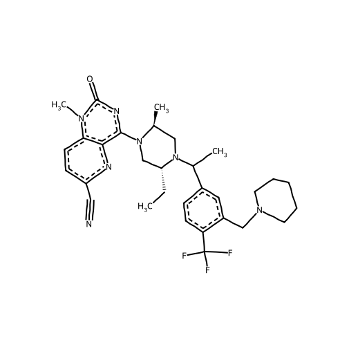 CC[C@@H]1CN(c2nc(=O)n(C)c3ccc(C#N)nc23)[C@@H](C)CN1C(C)c1ccc(C(F)(F)F)c(CN2CCCCC2)c1